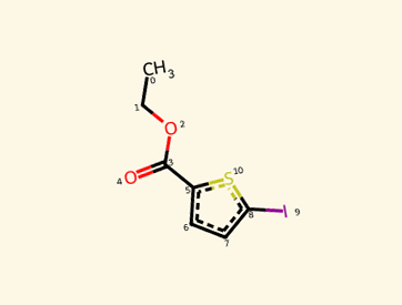 CCOC(=O)c1ccc(I)s1